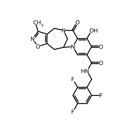 Cc1noc2c1CN1CC(C2)n2cc(C(=O)NCc3c(F)cc(F)cc3F)c(=O)c(O)c2C1=O